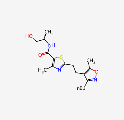 CCCCc1noc(C)c1CCc1nc(C)c(C(=O)N[C@H](C)CO)s1